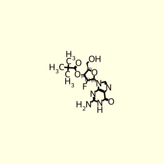 CC(C)(C)C(=O)O[C@H]1[C@H](F)[C@H](n2cnc3c(=O)[nH]c(N)nc32)O[C@@H]1CO